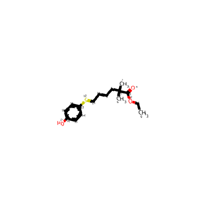 CCOC(=O)C(C)(C)CCCCSc1ccc(O)cc1